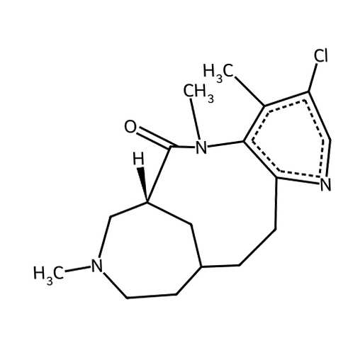 Cc1c(Cl)cnc2c1N(C)C(=O)[C@@H]1CC(CC2)CCN(C)C1